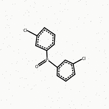 O=[P](c1cccc(Cl)c1)c1cccc(Cl)c1